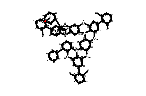 Cc1cccc(C)c1-c1cc2c3c(c1)Oc1cc4c(cc1B3c1cc3c(cc1O2)Oc1cc(-c2c(C)cccc2C)cc2c1B3c1cccc(-c3ccccc3)c1O2)B1c2cccc(-c3ccccc3)c2Oc2cc(-c3c(C)cccc3C)cc(c21)O4